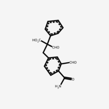 NC(=O)c1ccc(CC(C=O)(C(=O)O)c2ccccc2)cc1C=O